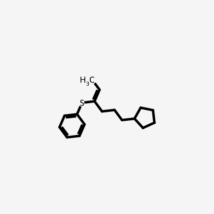 C/C=C(/CCCC1CCCC1)Sc1ccccc1